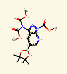 CCCCOC(=O)n1nc(N(C(=O)OC(C)(C)C)C(=O)OC(C)(C)C)c2cc(B3OC(C)(C)C(C)(C)O3)cnc21